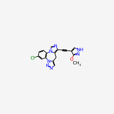 COc1n[nH]cc1C#Cc1ncn2c1Cc1cnnn1-c1cc(Cl)ccc1-2